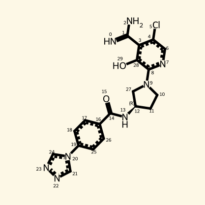 N=C(N)c1c(Cl)cnc(N2CC[C@@H](NC(=O)c3ccc(-n4cnnc4)cc3)C2)c1O